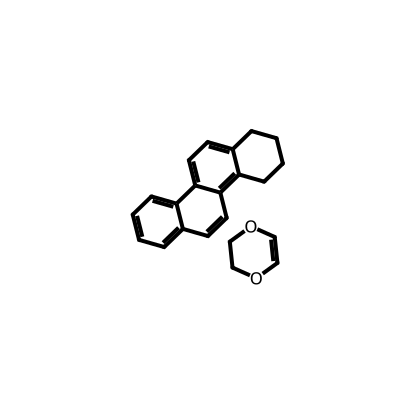 C1=COCCO1.c1ccc2c(c1)ccc1c3c(ccc12)CCCC3